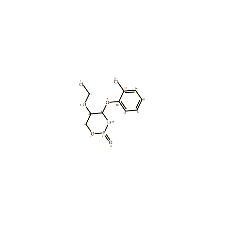 O=[P]1OCC(OCCl)C(Oc2ccccc2Cl)O1